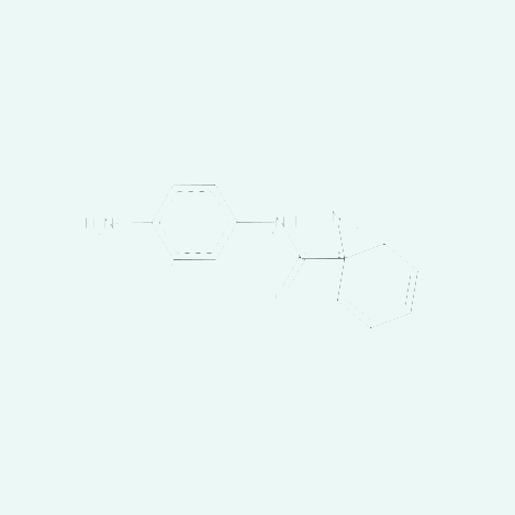 Nc1ccc(NC(=O)C2(N)C=CC=CC2)cc1